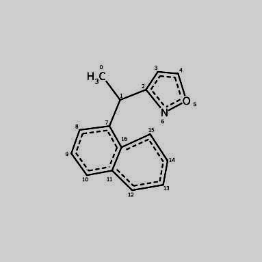 CC(c1ccon1)c1cccc2ccccc12